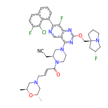 C[C@H]1CN(C/C=C/C(=O)N2CCN(c3nc(OC[C@@]45CCCN4C[C@H](F)C5)nc4c(F)c(-c5cccc6ccc(F)c(Cl)c56)ncc34)C[C@@H]2CC#N)C[C@H](C)O1